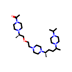 CC(=O)N1CCN([C@H](C)COCCN2CCN([C@H](C)CCC(C)N3CCN(C(C)C)CC3)CC2)CC1